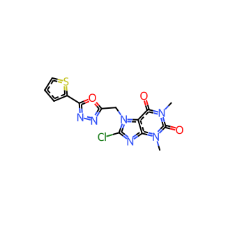 Cn1c(=O)c2c(nc(Cl)n2Cc2nnc(-c3cccs3)o2)n(C)c1=O